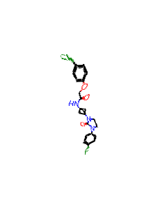 O=C(COc1ccc(Cl)cc1)NC12CC(N3CCN(c4ccc(F)cc4)C3=O)(C1)C2